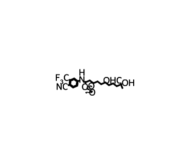 CC(O)(C=O)CCCCCCCCC(Nc1ccc(C#N)c(C(F)(F)F)c1)OS(C)(=O)=O